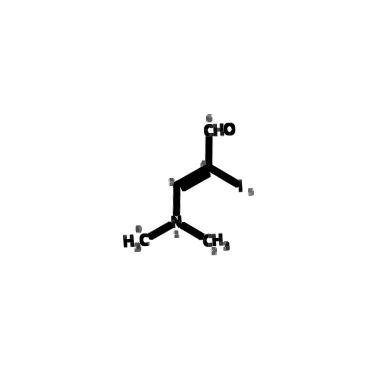 CN(C)C=C(I)C=O